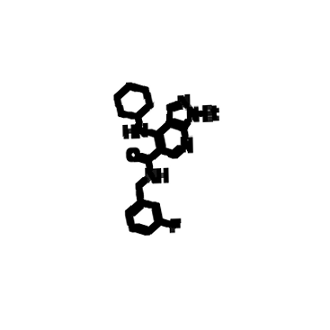 CCn1ncc2c(NC3CCCCC3)c(C(=O)NCc3cccc(F)c3)cnc21